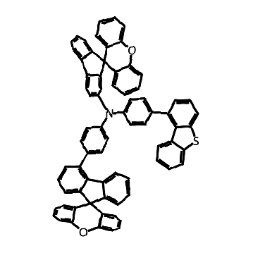 c1ccc2c(c1)Oc1ccccc1C21c2ccccc2-c2ccc(N(c3ccc(-c4cccc5c4-c4ccccc4C54c5ccccc5Oc5ccccc54)cc3)c3ccc(-c4cccc5sc6ccccc6c45)cc3)cc21